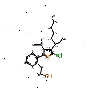 C=C(C)c1c(-c2ccccc2CCS)sc(Cl)c1C(CC)CCCCC